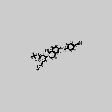 COCCCC(CC(=O)OC(C)(C)C)N1CCc2cc(OCc3ccc(C#N)cc3)ccc2C1=O